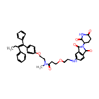 CCC(=C(c1ccccc1)c1ccc(OCCN(C)C(=O)CCOCCNc2ccc3c(c2)C(=O)N(C2CCC(=O)NC2=O)C3=O)cc1)c1ccccc1